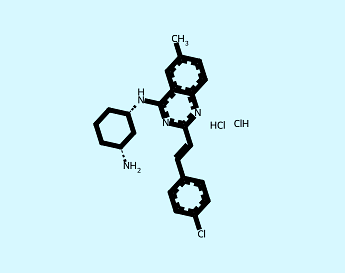 Cc1ccc2nc(C=Cc3ccc(Cl)cc3)nc(N[C@H]3CCC[C@@H](N)C3)c2c1.Cl.Cl